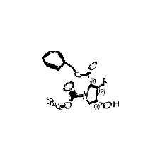 CC(C)(C)OC(=O)N1C[C@@H](O)[C@H](F)[C@H]1C(=O)OCc1ccccc1